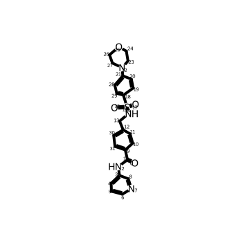 O=C(Nc1cccnc1)c1ccc(CNS(=O)(=O)c2ccc(N3CCOCC3)cc2)cc1